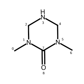 CN1CNCN(C)C1=O